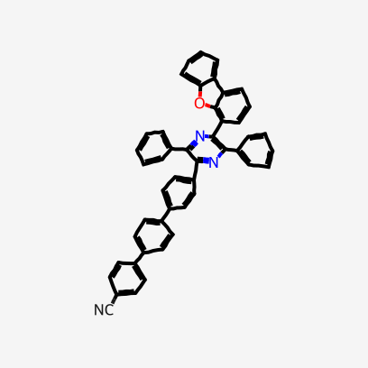 N#Cc1ccc(-c2ccc(-c3ccc(-c4nc(-c5ccccc5)c(-c5cccc6c5oc5ccccc56)nc4-c4ccccc4)cc3)cc2)cc1